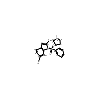 O=S(=O)(c1ccccc1)n1c(C[C@H]2CCCN2)cc2ccc(Cl)nc21